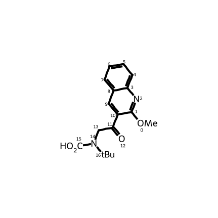 COc1nc2ccccc2cc1C(=O)CN(C(=O)O)C(C)(C)C